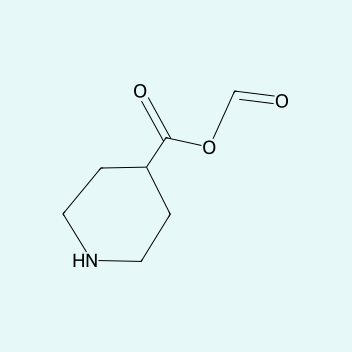 O=COC(=O)C1CCNCC1